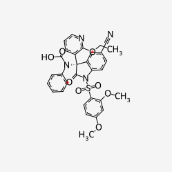 CCOc1ncccc1[C@]1(N(C(=O)O)c2ccccc2)C(=O)N(S(=O)(=O)c2ccc(OC)cc2OC)c2ccc(C#N)cc21